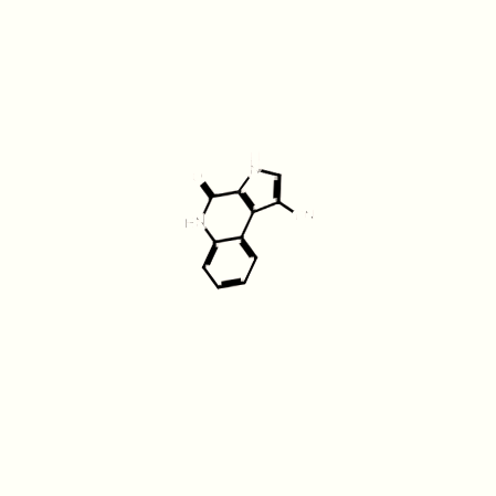 N#Cc1c[nH]c2c(=O)[nH]c3ccccc3c12